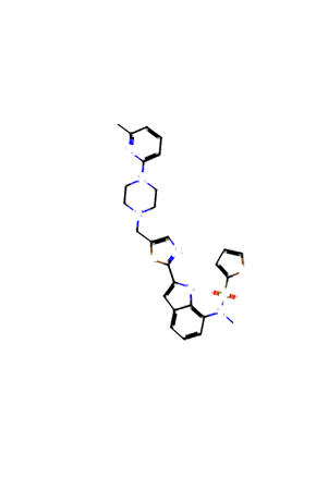 Cc1cccc(N2CCN(Cc3cnc(-c4cc5cccc(N(C)S(=O)(=O)c6cccs6)c5[nH]4)s3)CC2)n1